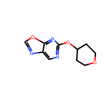 c1nc2cnc(OC3CCOCC3)nc2o1